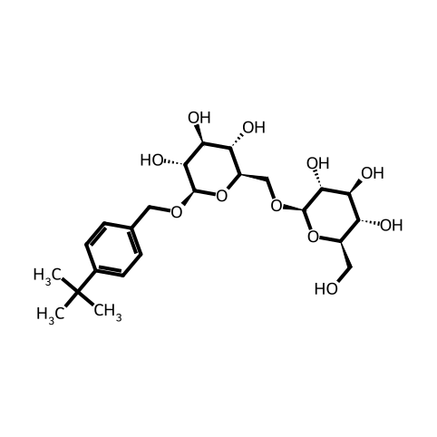 CC(C)(C)c1ccc(CO[C@@H]2O[C@H](CO[C@@H]3O[C@H](CO)[C@@H](O)[C@H](O)[C@H]3O)[C@@H](O)[C@H](O)[C@H]2O)cc1